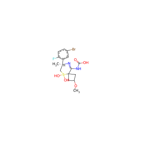 COC1CC2(C1)C(NC(=O)O)=N[C@](C)(c1cc(Br)ccc1F)CS2(O)O